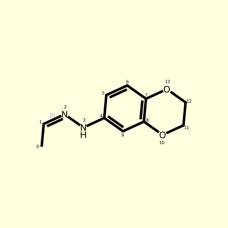 C/C=N\Nc1ccc2c(c1)OCCO2